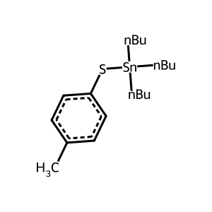 CCC[CH2][Sn]([CH2]CCC)([CH2]CCC)[S]c1ccc(C)cc1